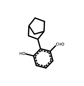 O=Cc1cccc(O)c1C1CC2CCC1C2